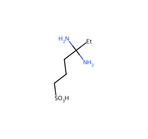 CCC(N)(N)CCCS(=O)(=O)O